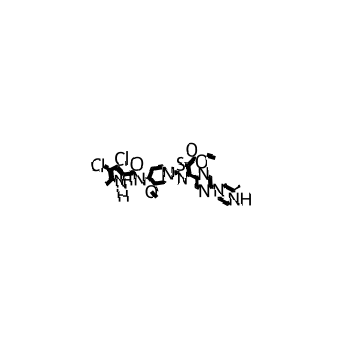 CCOC(=O)c1sc(N2CC[C@@H](NC(=O)c3[nH]c(C)c(Cl)c3Cl)[C@@H](OC)C2)nc1-c1cnc(N2CCN[C@H](C)C2)cn1